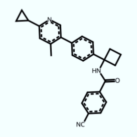 Cc1cc(C2CC2)ncc1-c1ccc(C2(NC(=O)c3ccc(C#N)cc3)CCC2)cc1